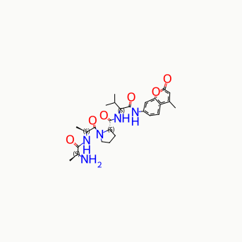 Cc1cc(=O)oc2cc(NC(=O)[C@@H](NC(=O)[C@@H]3CCCN3C(=O)[C@H](C)NC(=O)[C@H](C)N)C(C)C)ccc12